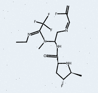 C=C(F)/C=N\CC(NC(=O)[C@@H]1C[C@@H](F)[C@H](C)N1)N(C)/C(=N\CC)C(F)(F)F